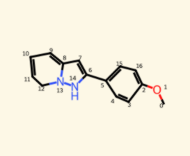 COc1ccc(C2=CC3=CC=CCN3N2)cc1